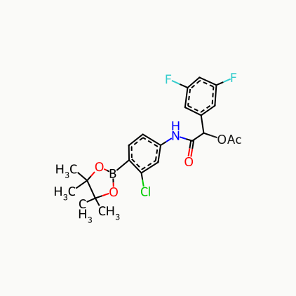 CC(=O)OC(C(=O)Nc1ccc(B2OC(C)(C)C(C)(C)O2)c(Cl)c1)c1cc(F)cc(F)c1